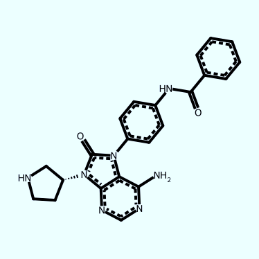 Nc1ncnc2c1n(-c1ccc(NC(=O)c3ccccc3)cc1)c(=O)n2[C@@H]1CCNC1